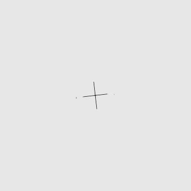 [CH2]C(C)(CCCC)CCCC